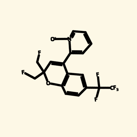 [O-][n+]1ccccc1C1=CC(CF)(CF)Oc2ccc(C(F)(F)C(F)(F)F)cc21